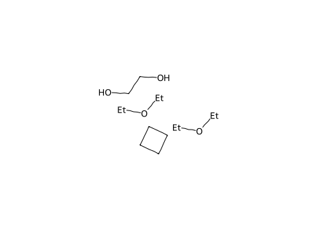 C1CCC1.CCOCC.CCOCC.OCCO